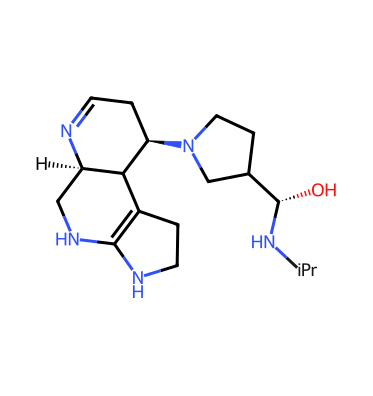 CC(C)N[C@@H](O)C1CCN([C@@H]2CC=N[C@@H]3CNC4=C(CCN4)C23)C1